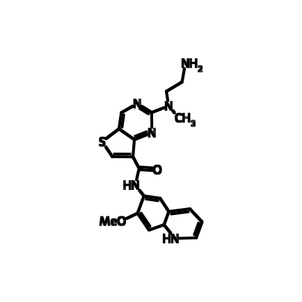 COC1=CC2NC=CC=C2C=C1NC(=O)c1csc2cnc(N(C)CCN)nc12